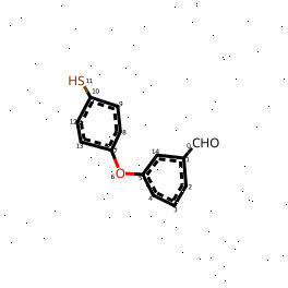 O=Cc1cccc(Oc2ccc(S)cc2)c1